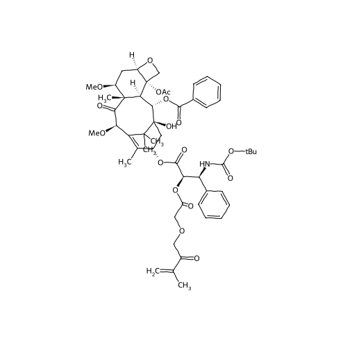 C=C(C)C(=O)COCC(=O)O[C@@H](C(=O)O[C@H]1C[C@@]2(O)[C@@H](OC(=O)c3ccccc3)[C@@H]3[C@]4(OC(C)=O)CO[C@@H]4C[C@H](OC)[C@@]3(C)C(=O)[C@H](OC)C(=C1C)C2(C)C)[C@@H](NC(=O)OC(C)(C)C)c1ccccc1